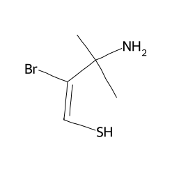 CC(C)(N)/C(Br)=C\S